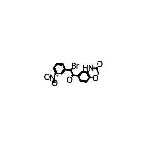 O=C1COc2ccc(C(=O)C(Br)c3cccc([N+](=O)[O-])c3)cc2N1